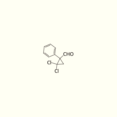 O=CC1(c2ccccc2)CC1(Cl)Cl